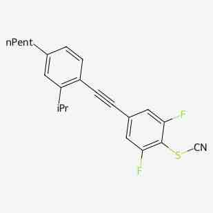 CCCCCc1ccc(C#Cc2cc(F)c(SC#N)c(F)c2)c(C(C)C)c1